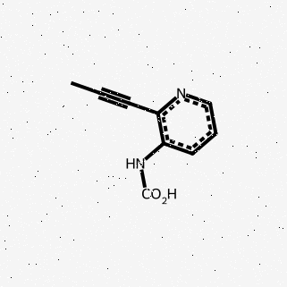 CC#Cc1ncccc1NC(=O)O